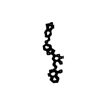 O=C(CC(CCn1nnc2ccccc2c1=O)C(=O)O)c1cc2cc(OCc3ccc4nonc4c3)ccc2o1